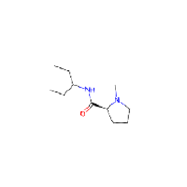 CCC(CC)NC(=O)[C@@H]1CCCN1C